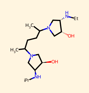 CCN[C@H]1CN(C(C)CCC(C)N2C[C@@H](O)[C@@H](NC(C)C)C2)C[C@H]1O